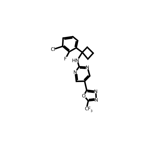 Fc1c(Cl)cccc1C1(Nc2ncc(-c3nnc(C(F)(F)F)o3)cn2)CCC1